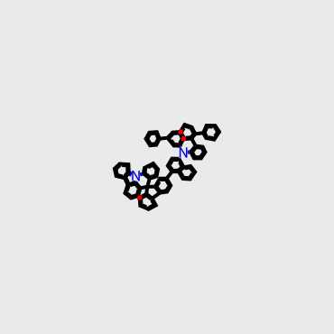 c1ccc(-c2cccc(N(c3ccccc3-c3ccccc3-c3ccccc3)c3ccc(-c4ccc5c(c4)C4(c6ccccc6-5)c5ccccc5-n5c6ccccc6c6cccc4c65)c4ccccc34)c2)cc1